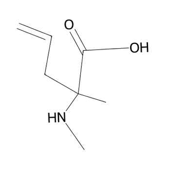 C=CCC(C)(NC)C(=O)O